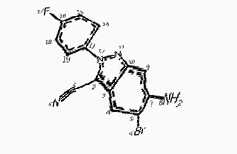 N#Cc1c2cc(Br)c(N)cc2nn1-c1ccc(F)cc1